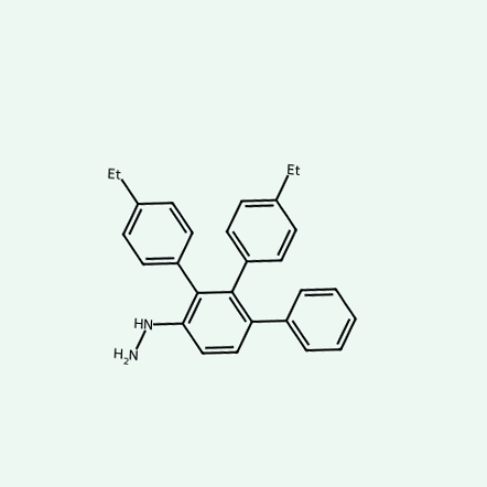 CCc1ccc(-c2c(NN)ccc(-c3ccccc3)c2-c2ccc(CC)cc2)cc1